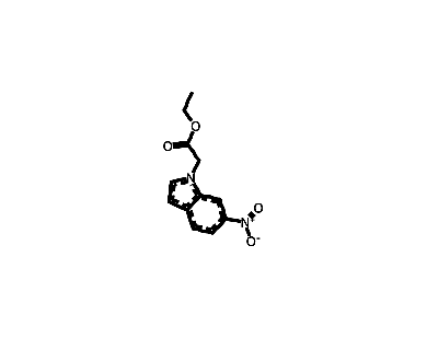 CCOC(=O)Cn1ccc2ccc([N+](=O)[O-])cc21